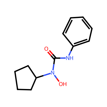 O=C(Nc1ccccc1)N(O)C1CCCC1